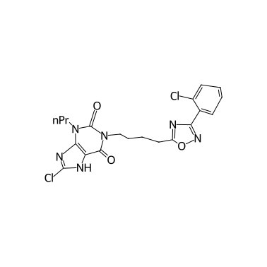 CCCn1c(=O)n(CCCCc2nc(-c3ccccc3Cl)no2)c(=O)c2[nH]c(Cl)nc21